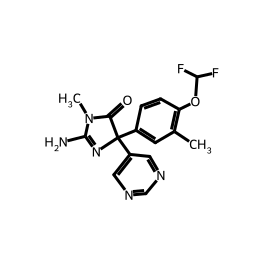 Cc1cc(C2(c3cncnc3)N=C(N)N(C)C2=O)ccc1OC(F)F